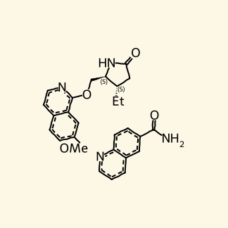 CC[C@H]1CC(=O)N[C@@H]1COc1nccc2ccc(OC)cc12.NC(=O)c1ccc2ncccc2c1